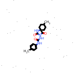 Cc1ccc(NC(=O)NN2C(=O)NC3(CCC(C)CC3)C2=O)cc1